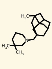 CC1(C)CCCN(CC23CC4CC5CC(C)(C2)C5(C4)C3)C1